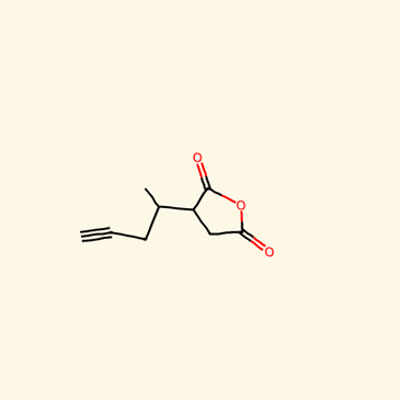 C#CCC(C)C1CC(=O)OC1=O